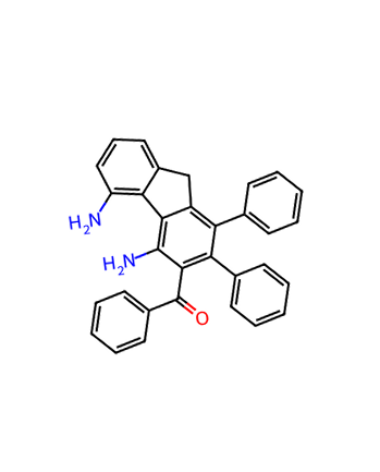 Nc1cccc2c1-c1c(N)c(C(=O)c3ccccc3)c(-c3ccccc3)c(-c3ccccc3)c1C2